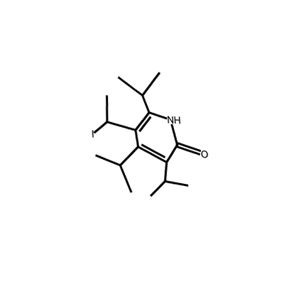 CC(C)c1[nH]c(=O)c(C(C)C)c(C(C)C)c1C(C)I